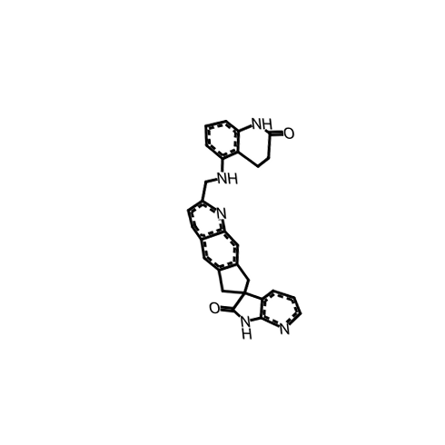 O=C1CCc2c(NCc3ccc4cc5c(cc4n3)CC3(C5)C(=O)Nc4ncccc43)cccc2N1